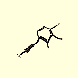 CC(=O)C#Cc1ccc(F)c(F)c1F